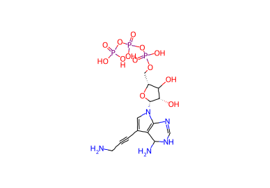 NCC#Cc1cn([C@@H]2O[C@H](COP(=O)(O)OP(=O)(O)OP(=O)(O)O)C(O)[C@@H]2O)c2c1C(N)NC=N2